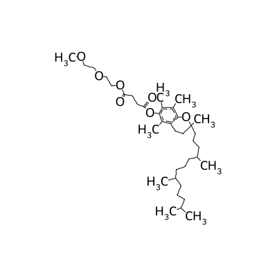 COCCOCCOC(=O)CCC(=O)Oc1c(C)c(C)c2c(c1C)CCC(C)(CCCC(C)CCCC(C)CCCC(C)C)O2